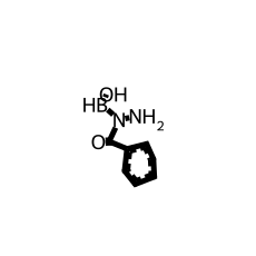 NN(BO)C(=O)c1ccccc1